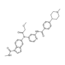 CNC(=O)n1ccc2cc(N(C(=O)COC)c3ccnc(NC(=O)c4ccc(C5CCN(C)CC5)cc4)c3)ccc21